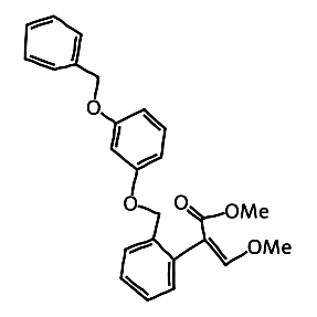 COC=C(C(=O)OC)c1ccccc1COc1cccc(OCc2ccccc2)c1